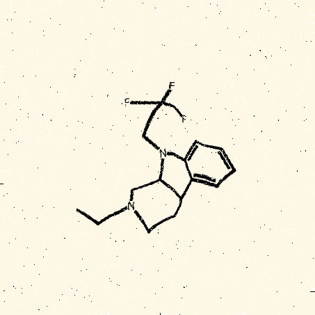 CCN1CCC2c3ccccc3N(CC(F)(F)F)C2C1